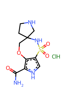 Cl.NC(=O)c1[nH]cc2c1OCC1(CCNC1)NS2(=O)=O